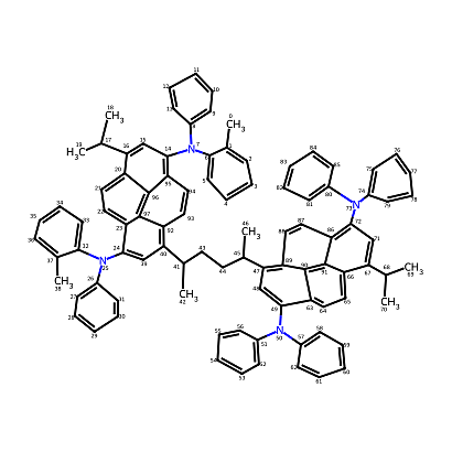 Cc1ccccc1N(c1ccccc1)c1cc(C(C)C)c2ccc3c(N(c4ccccc4)c4ccccc4C)cc(C(C)CCC(C)c4cc(N(c5ccccc5)c5ccccc5)c5ccc6c(C(C)C)cc(N(c7ccccc7)c7ccccc7)c7ccc4c5c67)c4ccc1c2c43